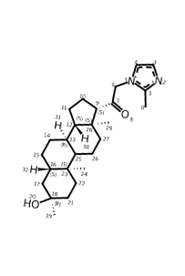 Cc1nccn1CC(=O)[C@H]1CC[C@H]2[C@@H]3CC[C@H]4C[C@](C)(O)CC[C@]4(C)C3CC[C@]12C